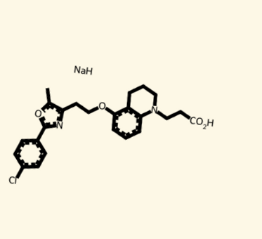 Cc1oc(-c2ccc(Cl)cc2)nc1CCOc1cccc2c1CCCN2CCC(=O)O.[NaH]